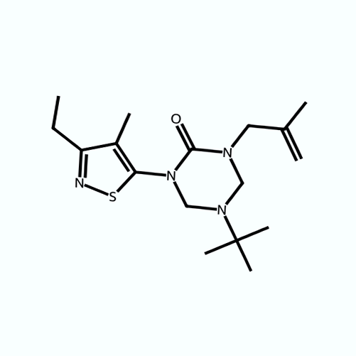 C=C(C)CN1CN(C(C)(C)C)CN(c2snc(CC)c2C)C1=O